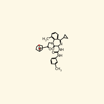 Cc1cccc(NC(=O)NC2N=C(C3CC3)c3cccc(C)c3N(CC(=O)N3CC4CCC(CC4)C3)C2=O)c1